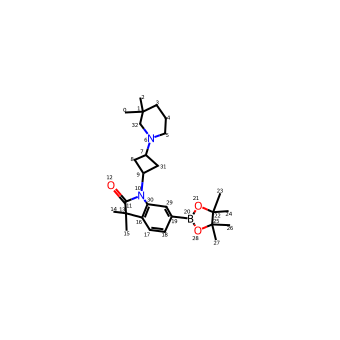 CC1(C)CCCN(C2CC(N3C(=O)C(C)(C)c4ccc(B5OC(C)(C)C(C)(C)O5)cc43)C2)C1